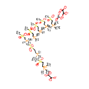 CC[P+](CC)(CC)CCS(=O)(=O)CC.CC[P+](CC)(CC)CCS(=O)(=O)CC.CC[P+](CC)(CC)CCS(=O)(=O)CC.CC[P+](CC)(CC)CCS(=O)(=O)CC.CC[P+](CC)(CC)CCS(=O)(=O)CC.CC[P+](CC)(CC)CCS(=O)(=O)CC.CC[P+](CC)(CC)CCS(=O)(=O)CC.O=C([O-])C(=O)[O-].O=C([O-])C(=O)[O-].[O-]B([O-])[O-]